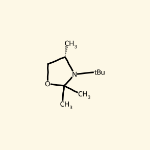 C[C@H]1COC(C)(C)N1C(C)(C)C